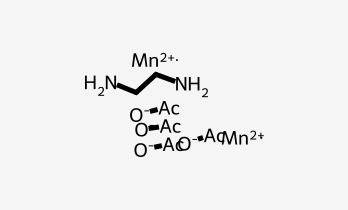 CC(=O)[O-].CC(=O)[O-].CC(=O)[O-].CC(=O)[O-].NCCN.[Mn+2].[Mn+2]